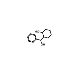 OC1CCCCC1C(O)c1ccccc1